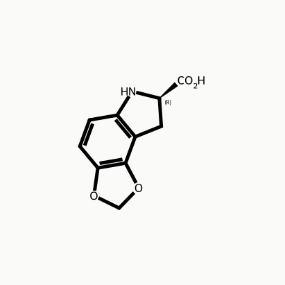 O=C(O)[C@H]1Cc2c(ccc3c2OCO3)N1